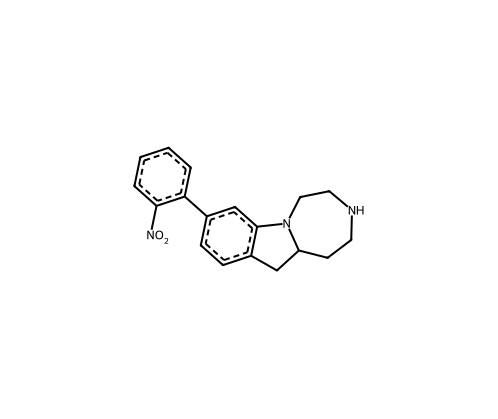 O=[N+]([O-])c1ccccc1-c1ccc2c(c1)N1CCNCCC1C2